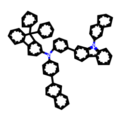 c1ccc(C2(c3ccccc3)c3ccccc3-c3ccc(N(c4ccc(-c5ccc6ccccc6c5)cc4)c4cccc(-c5ccc6c7ccccc7n(-c7ccc8ccccc8c7)c6c5)c4)cc32)cc1